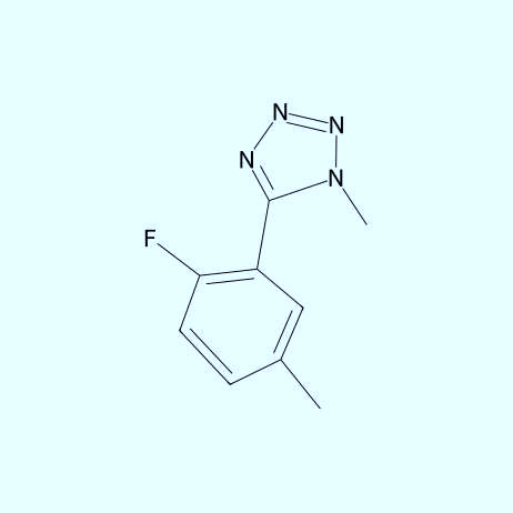 Cc1ccc(F)c(-c2nnnn2C)c1